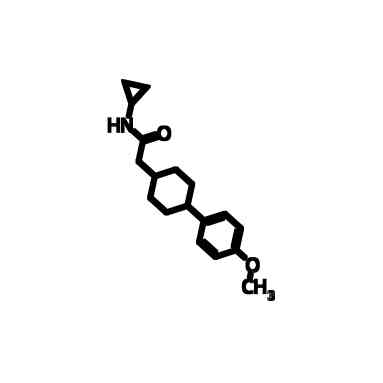 COc1ccc(C2CCC(CC(=O)NC3CC3)CC2)cc1